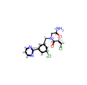 NC(=O)CN(Cc1cc(Cl)cc(-c2ncccn2)c1)C(=O)/C=C\Cl